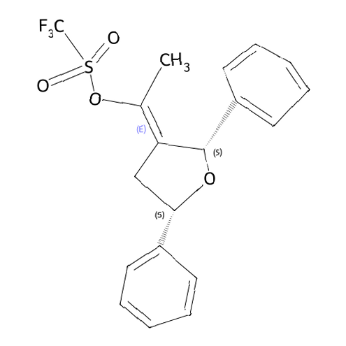 C/C(OS(=O)(=O)C(F)(F)F)=C1/C[C@@H](c2ccccc2)O[C@H]1c1ccccc1